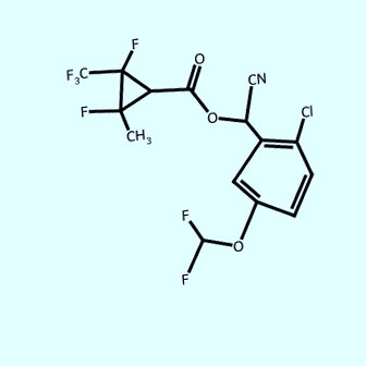 CC1(F)C(C(=O)OC(C#N)c2cc(OC(F)F)ccc2Cl)C1(F)C(F)(F)F